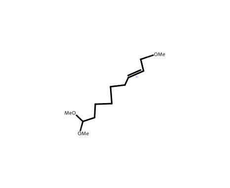 COC/C=C/CCCCCC(OC)OC